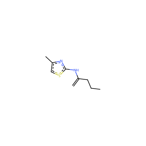 C=C(CCC)Nc1nc(C)cs1